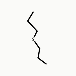 [CH2]CCSCC[CH2]